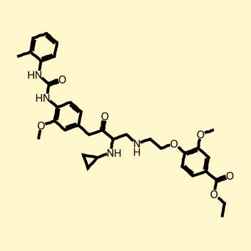 CCOC(=O)c1ccc(OCCNCC(NC2CC2)C(=O)Cc2ccc(NC(=O)Nc3ccccc3C)c(OC)c2)c(OC)c1